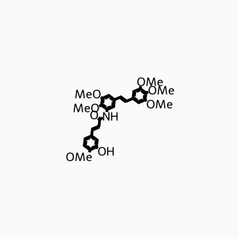 COc1ccc(/C=C/C(=O)Nc2cc(C=Cc3cc(OC)c(OC)c(OC)c3)cc(OC)c2OC)cc1O